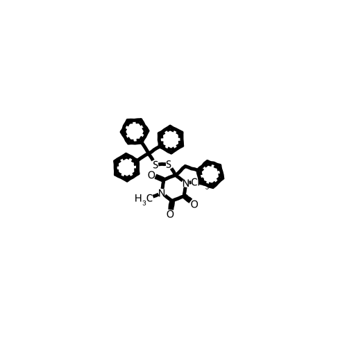 CN1C(=O)C(=O)N(C)C(Cc2ccccc2)(SSC(c2ccccc2)(c2ccccc2)c2ccccc2)C1=O